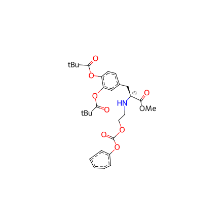 COC(=O)[C@H](Cc1ccc(OC(=O)C(C)(C)C)c(OC(=O)C(C)(C)C)c1)NCCOC(=O)Oc1ccccc1